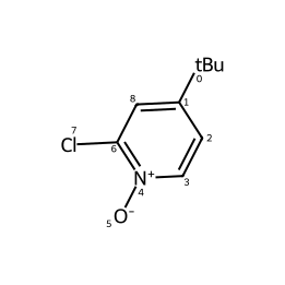 CC(C)(C)c1cc[n+]([O-])c(Cl)c1